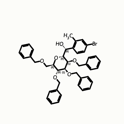 Cc1cc(Br)ccc1[C@@H](O)[C@H]1O[C@H](COCc2ccccc2)[C@@H](OCc2ccccc2)[C@H](OCc2ccccc2)[C@@H]1OCc1ccccc1